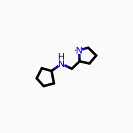 C1C[N]C(CNC2CCCC2)C1